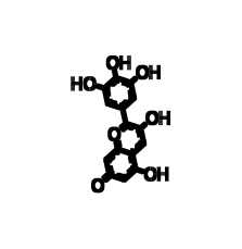 O=c1cc2oc(-c3cc(O)c(O)c(O)c3)c(O)cc-2c(O)c1